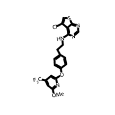 COc1cc(C(F)(F)F)cc(Oc2ccc(CCNc3ncnc4scc(Cl)c34)cc2)n1